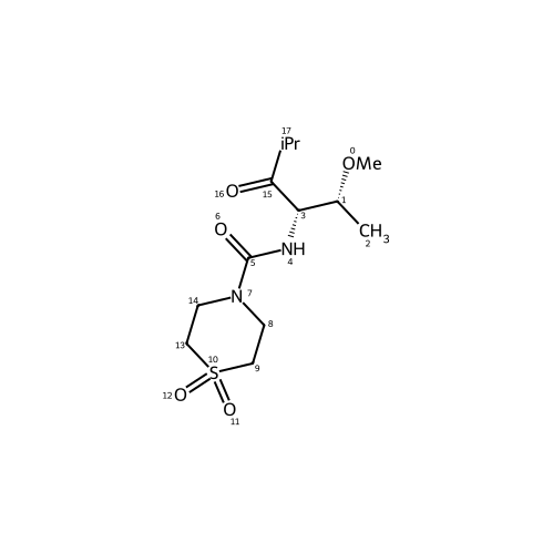 CO[C@H](C)[C@H](NC(=O)N1CCS(=O)(=O)CC1)C(=O)C(C)C